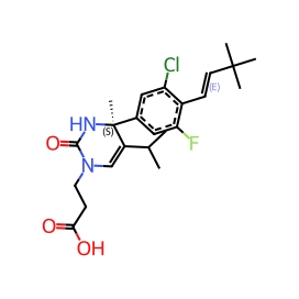 CC(C)C1=CN(CCC(=O)O)C(=O)N[C@@]1(C)c1cc(F)c(/C=C/C(C)(C)C)c(Cl)c1